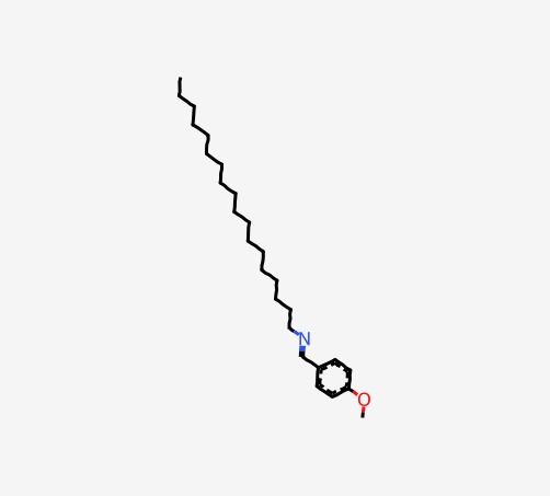 CCCCCCCCCCCCCCCCCCN=Cc1ccc(OC)cc1